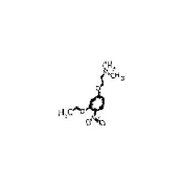 CCOc1cc(OCCN(C)C)ccc1[N+](=O)[O-]